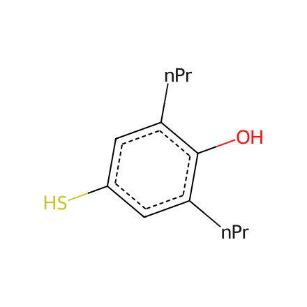 CCCc1cc(S)cc(CCC)c1O